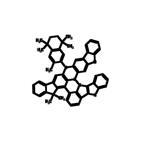 Cc1cc2c(cc1N1c3cc4c(cc3B3c5c1cc1c(c5-c5cccc6c7sc8ccccc8c7n3c56)C(C)(C)c3ccccc3-1)oc1ccccc14)C(C)(C)CCC2(C)C